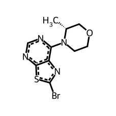 C[C@@H]1COCCN1c1ncnc2sc(Br)nc12